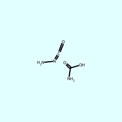 NC(=O)O.NN=C=O